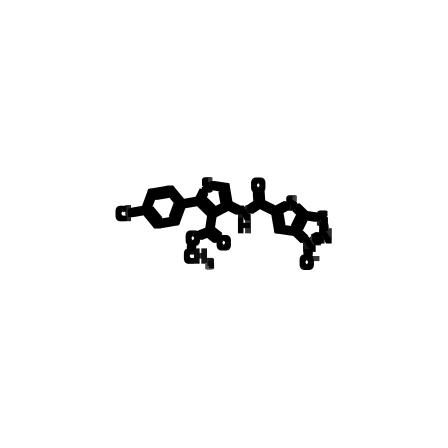 COC(=O)c1c(NC(=O)c2cc3c(sn[n+]3[O-])s2)csc1-c1ccc(Cl)cc1